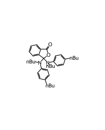 CCCCc1ccc(N(CCCC)C2(N(CCCC)c3ccc(CCCC)cc3)OC(=O)c3ccccc32)cc1